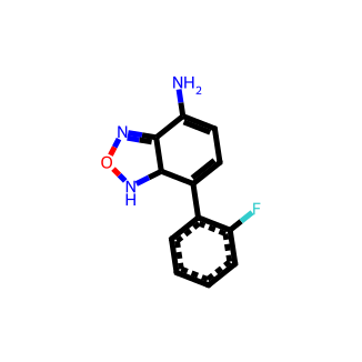 NC1=CC=C(c2ccccc2F)C2NON=C12